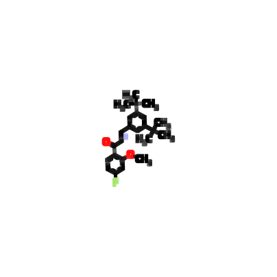 COc1cc(F)ccc1C(=O)/C=C/c1cc(C(C)(C)C)cc(C(C)(C)C)c1